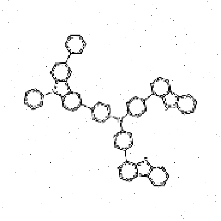 c1ccc(-c2ccc3c(c2)c2cc(-c4ccc(N(c5ccc(-c6cccc7c6sc6ccccc67)cc5)c5ccc(-c6cccc7c6sc6ccccc67)cc5)cc4)ccc2n3-c2ccccc2)cc1